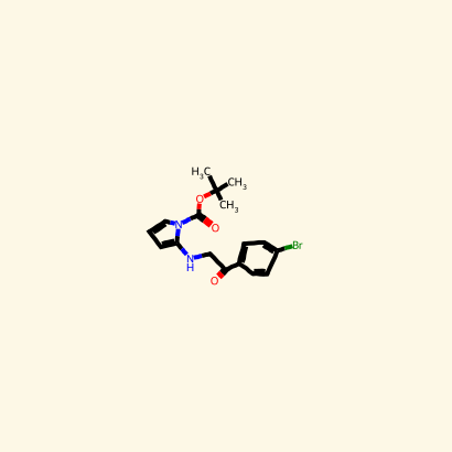 CC(C)(C)OC(=O)n1cccc1NCC(=O)c1ccc(Br)cc1